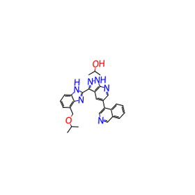 CC(C)O.CC(C)OCc1cccc2[nH]c(-c3n[nH]c4ncc(-c5cncc6ccccc56)cc34)nc12